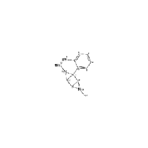 CC(C)c1ccccc1C12C3C(C1N2C(C)(C)C)N3C